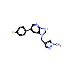 Cn1cc(CN2CNc3ncc(-c4ccc(F)cc4)cc32)cn1